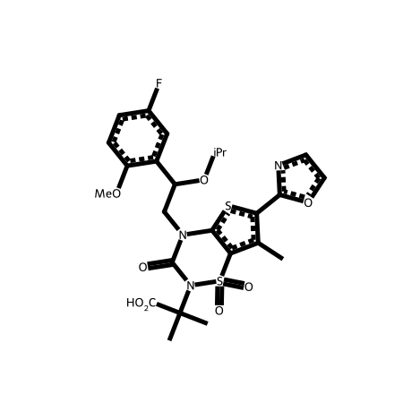 COc1ccc(F)cc1C(CN1C(=O)N(C(C)(C)C(=O)O)S(=O)(=O)c2c1sc(-c1ncco1)c2C)OC(C)C